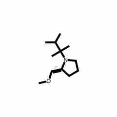 CO/C=C1\CCCN1C(C)(C)C(C)C